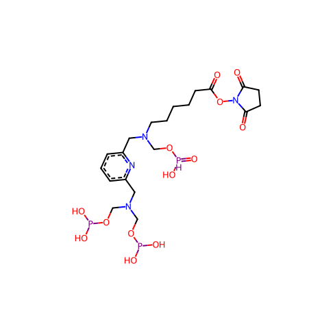 O=C(CCCCCN(CO[PH](=O)O)Cc1cccc(CN(COP(O)O)COP(O)O)n1)ON1C(=O)CCC1=O